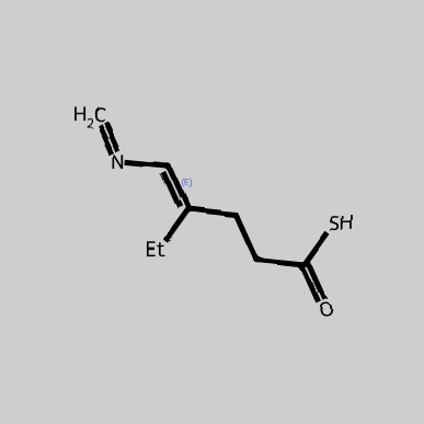 C=N/C=C(\CC)CCC(=O)S